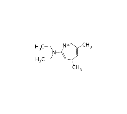 CCN(CC)C1=C[C@@H](C)C=C(C)C=N1